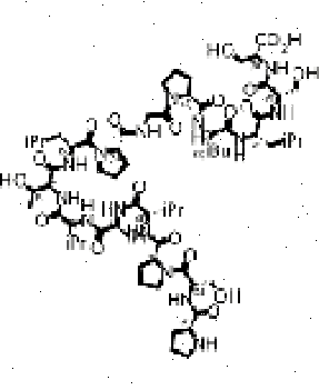 CC[C@H](C)[C@H](NC(=O)[C@@H]1CCCN1C(=O)CNC(=O)[C@@H]1CCCN1C(=O)[C@H](CC(C)C)NC(=O)[C@@H](NC(=O)[C@@H](NC(=O)[C@@H](NC(=O)[C@@H](NC(=O)[C@@H]1CCCN1C(=O)[C@H](CO)NC(=O)[C@@H]1CCCN1)C(C)C)C(C)C)C(C)C)[C@@H](C)O)C(=O)N[C@@H](CC(C)C)C(=O)N[C@@H](CO)C(=O)N[C@@H](CO)C(=O)O